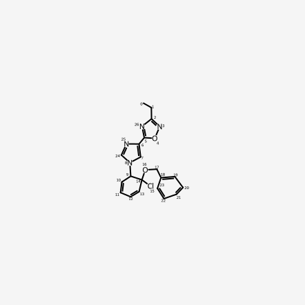 CCc1noc(-c2cn(C3C=CC=CC3(Cl)OCc3ccccc3)cn2)n1